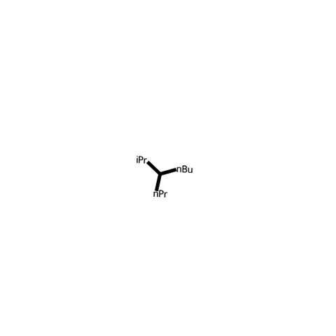 C[CH]CC(CCCC)C(C)C